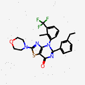 CCc1cccc(-c2nc(=O)c3sc(N4CCOCC4)nc3n2-c2cccc(C(F)(F)F)c2C)c1